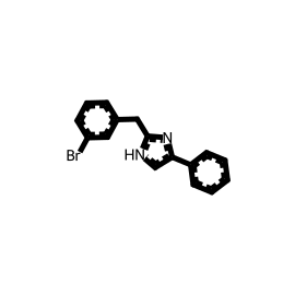 Brc1cccc(Cc2nc(-c3ccccc3)c[nH]2)c1